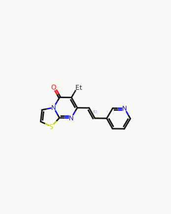 CCc1c(/C=C/c2cccnc2)nc2sccn2c1=O